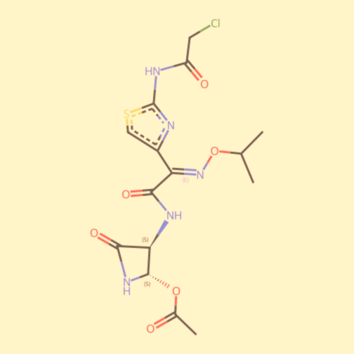 CC(=O)O[C@@H]1NC(=O)[C@H]1NC(=O)/C(=N/OC(C)C)c1csc(NC(=O)CCl)n1